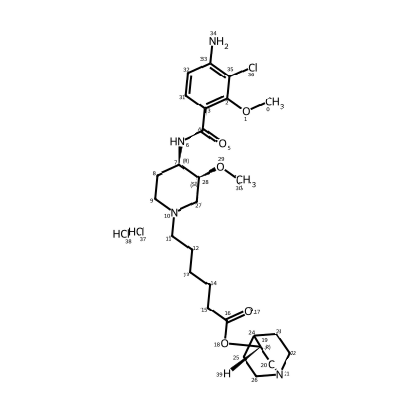 COc1c(C(=O)N[C@@H]2CCN(CCCCCC(=O)O[C@H]3CN4CCC3CC4)C[C@@H]2OC)ccc(N)c1Cl.Cl.Cl